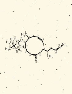 C[C@H]1CC=CC[C@H]([C@@H](C)CN=[N+]=[N-])OC(=O)CCC[C@@H]1O[Si](C)(C)C(C)(C)C